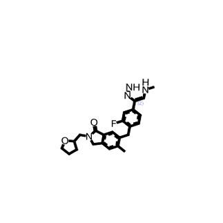 CN/C=C(\N=N)c1ccc(Cc2cc3c(cc2C)CN(CC2CCCO2)C3=O)c(F)c1